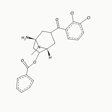 CN1[C@@H]2CC(C(=O)c3cccc(Cl)c3Cl)C[C@@]1(N)CC2OC(=O)c1ccccc1